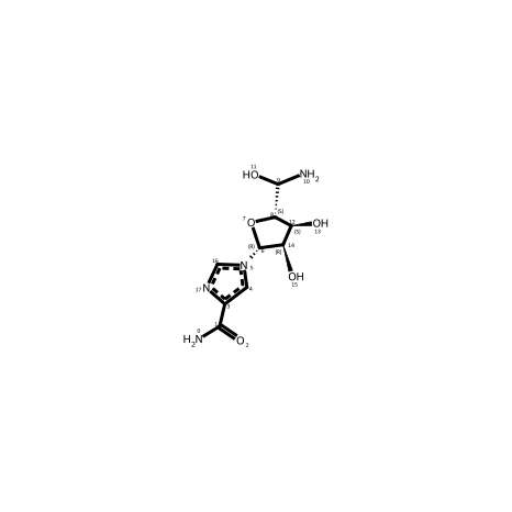 NC(=O)c1cn([C@@H]2O[C@H](C(N)O)[C@@H](O)[C@H]2O)cn1